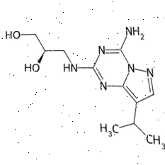 CC(C)c1cnn2c(N)nc(NC[C@@H](O)CO)nc12